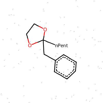 CCCCCC1(Cc2ccccc2)OCCO1